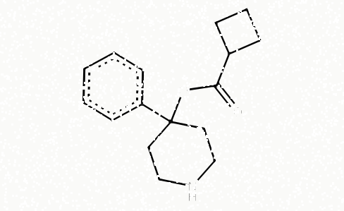 O=C(OC1(c2ccccc2)CCNCC1)C1CCC1